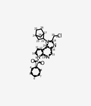 O=S(=O)(c1ccccc1)n1ccc2c1ncc1nc(CCl)n(C3CC4CCC3C4)c12